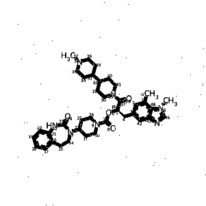 Cc1cc(C[C@@H](OC(=O)N2CCC(N3CCc4ccccc4NC3=O)CC2)C(=O)N2CCC(C3CCN(C)CC3)CC2)cc2ncn(C)c12